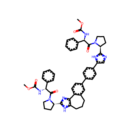 COC(=O)N[C@@H](C(=O)N1CCC[C@H]1c1ncc(-c2ccc(-c3ccc4c(c3)CCCc3[nH]c([C@@H]5CCCN5C(=O)[C@H](NC(=O)OC)c5ccccc5)nc3-4)cc2)[nH]1)c1ccccc1